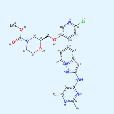 Cc1cc(Nc2cc3cc(-c4cc(Cl)ncc4OC[C@@H]4CN(C(=O)OC(C)(C)C)CCO4)ccn3n2)nc(C)n1